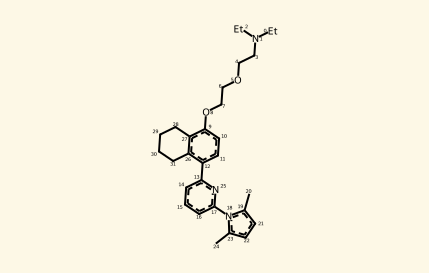 CCN(CC)CCOCCOc1ccc(-c2cccc(-n3c(C)ccc3C)n2)c2c1CCCC2